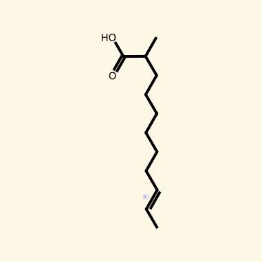 C/C=C/CCCCCCC(C)C(=O)O